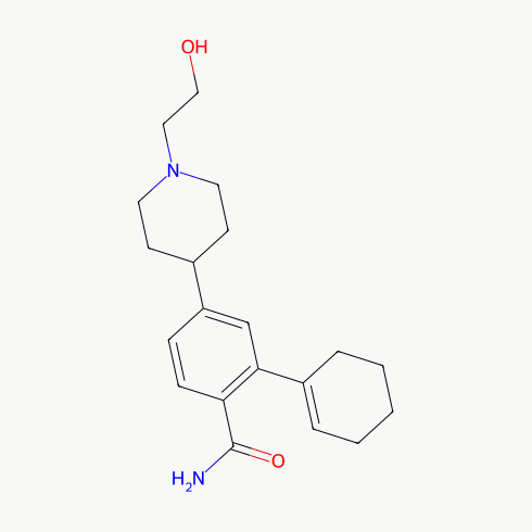 NC(=O)c1ccc(C2CCN(CCO)CC2)cc1C1=CCCCC1